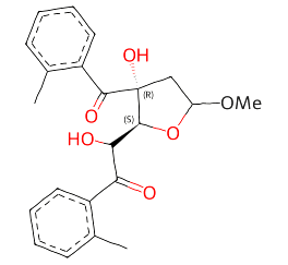 COC1C[C@](O)(C(=O)c2ccccc2C)[C@H](C(O)C(=O)c2ccccc2C)O1